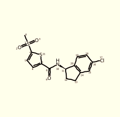 CS(=O)(=O)c1ccc(C(=O)N[C@@H]2CCc3cc(Cl)ccc32)s1